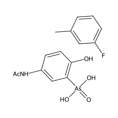 CC(=O)Nc1ccc(O)c([As](=O)(O)O)c1.Cc1cccc(F)c1